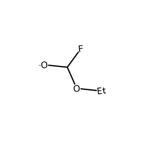 CCOC([O])F